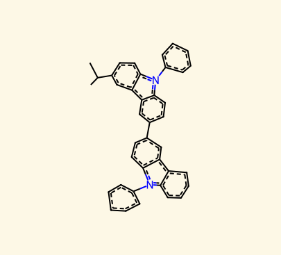 CC(C)c1ccc2c(c1)c1cc(-c3ccc4c(c3)c3ccccc3n4-c3ccccc3)ccc1n2-c1ccccc1